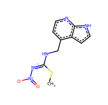 CS/C(=N\[N+](=O)[O-])NCc1ccnc2[nH]ccc12